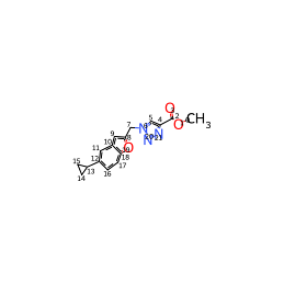 COC(=O)c1cn(Cc2cc3cc(C4CC4)ccc3o2)nn1